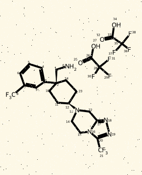 NC[C@]1(c2cccc(C(F)(F)F)c2)CC[C@H](N2CCn3c(nnc3C(F)(F)F)C2)CC1.O=C(O)C(F)(F)F.O=C(O)C(F)(F)F